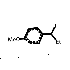 CCC(I)c1ccc(OC)cc1